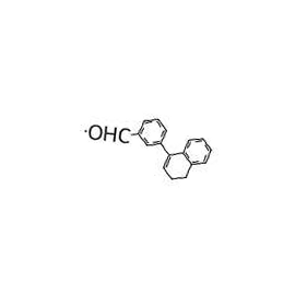 O=[C]c1cccc(C2=CCCc3ccccc32)c1